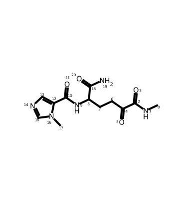 CNC(=O)C(=O)CCC(NC(=O)c1cncn1C)C(N)=O